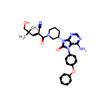 CC(C)(C=C(C#N)C(=O)N1CCC[C@H](n2c(=O)n(-c3ccc(Oc4ccccc4)cc3)c3c(N)ncnc32)C1)CO